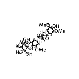 COc1cc([C@@H]2OC[C@@H]3[C@H]2CO[C@H]3c2cc(OC)c(O[C@@H]3O[C@H](CO)[C@@H](O)[C@H](O)[C@H]3O)c(OC)c2)cc(OC)c1O